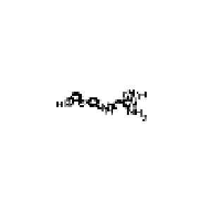 Nc1cc(Cc2cnn(Cc3cccc(Oc4cccc5c4CNC5)c3)c2)c2nn[nH]c2n1